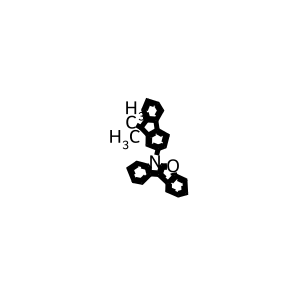 CC1(C)c2ccccc2-c2ccc(-n3c4ccccc4c4c5ccccc5oc43)cc21